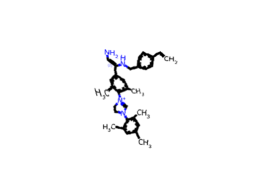 C=Cc1ccc(CN/C(=C\N)c2cc(C)c([N+]3=CN(c4c(C)cc(C)cc4C)CC3)c(C)c2)cc1